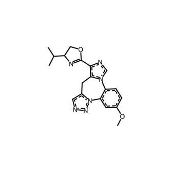 COc1ccc2c(c1)-n1nncc1Cc1c(C3=NC(C(C)C)CO3)ncn1-2